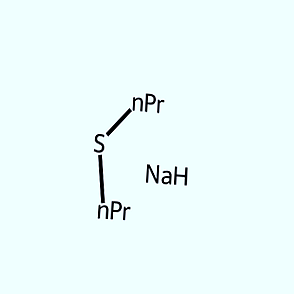 CCCSCCC.[NaH]